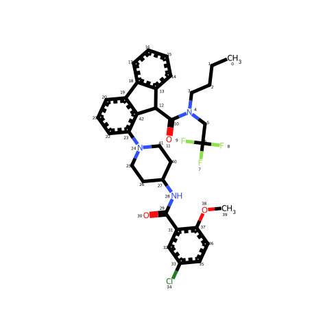 CCCCN(CC(F)(F)F)C(=O)C1c2ccccc2-c2cccc(N3CCC(NC(=O)c4cc(Cl)ccc4OC)CC3)c21